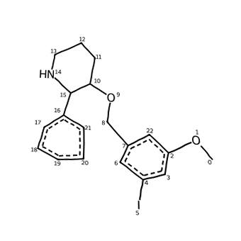 COc1cc(I)cc(COC2CCCNC2c2ccccc2)c1